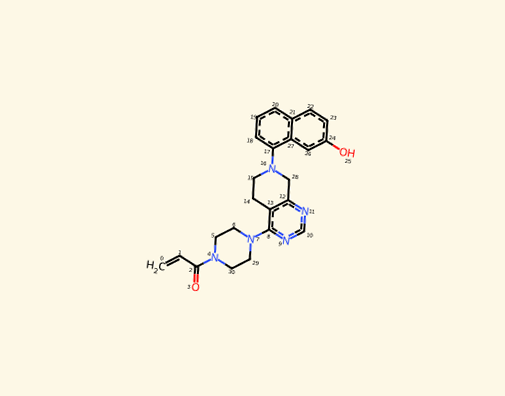 C=CC(=O)N1CCN(c2ncnc3c2CCN(c2cccc4ccc(O)cc24)C3)CC1